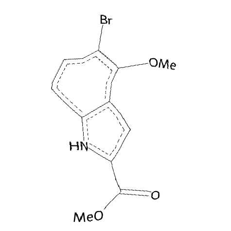 COC(=O)c1cc2c(OC)c(Br)ccc2[nH]1